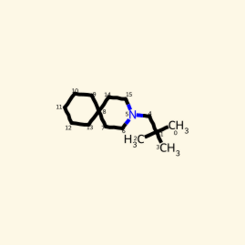 CC(C)(C)CN1CCC2(CCCCC2)CC1